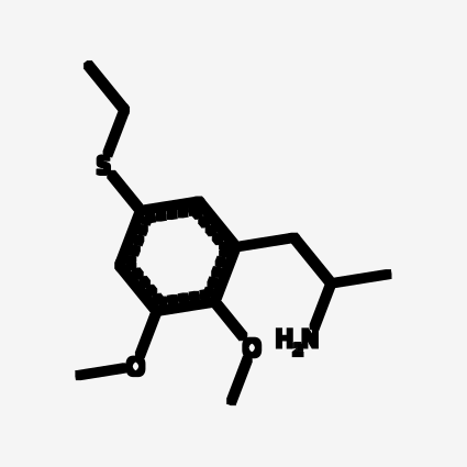 CCSc1cc(CC(C)N)c(OC)c(OC)c1